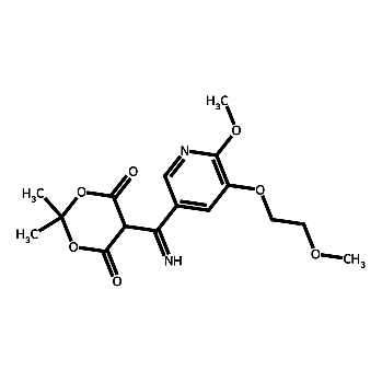 COCCOc1cc(C(=N)C2C(=O)OC(C)(C)OC2=O)cnc1OC